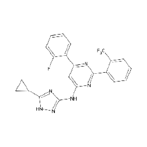 Fc1ccccc1-c1cc(Nc2n[nH]c(C3CC3)n2)nc(-c2ccccc2C(F)(F)F)n1